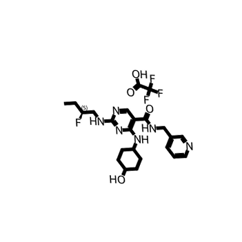 CC[C@H](F)CNc1ncc(C(=O)NCc2cccnc2)c(NC2CCC(O)CC2)n1.O=C(O)C(F)(F)F